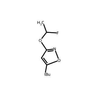 CC(F)Oc1cc(C(C)(C)C)on1